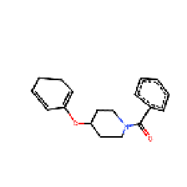 O=C(c1ccccc1)N1CCC(OC2=CC[CH]C=C2)CC1